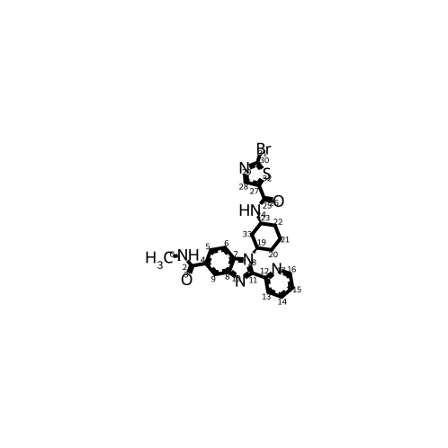 CNC(=O)c1ccc2c(c1)nc(-c1ccccn1)n2[C@@H]1CCC[C@H](NC(=O)c2cnc(Br)s2)C1